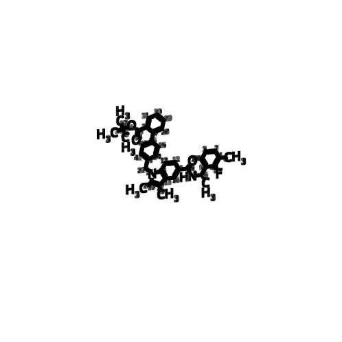 Cc1cccc([C@H](C)NC(=O)c2ccc3c(c2)c(C)c(C)n3Cc2ccc(-c3ccccc3C(=O)OC(C)(C)C)cc2)c1F